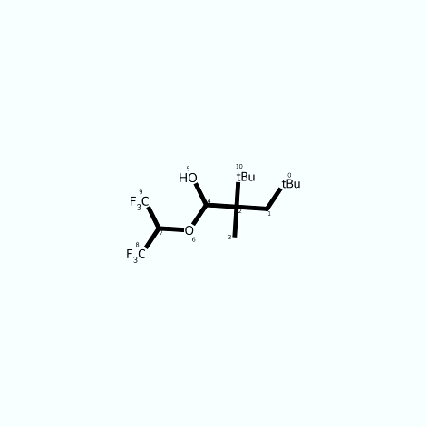 CC(C)(C)CC(C)(C(O)OC(C(F)(F)F)C(F)(F)F)C(C)(C)C